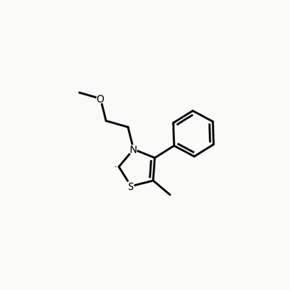 COCCN1[CH]SC(C)=C1c1ccccc1